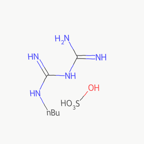 CCCCNC(=N)NC(=N)N.O=S(=O)(O)O